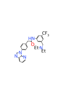 CCN(CC)Cc1cc(NC(=O)Cc2ccc(-n3cnc4cccnc43)cc2)cc(C(F)(F)F)c1